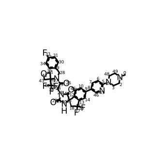 CN1CCN(c2ccc(-c3ccc4c(c3)C(F)(F)C[C@]43NC(=O)N(CC(=O)N(Cc4ccc(F)cc4)C4(C(F)(F)F)COC4)C3=O)cn2)CC1